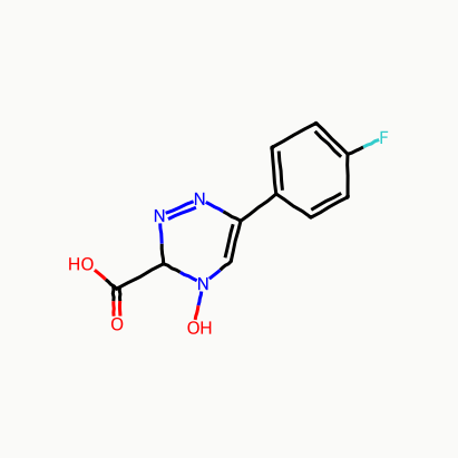 O=C(O)C1N=NC(c2ccc(F)cc2)=CN1O